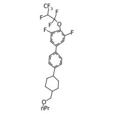 CCCOCC1CCC(c2ccc(-c3cc(F)c(OC(F)(F)C(F)C(F)(F)F)c(F)c3)cc2)CC1